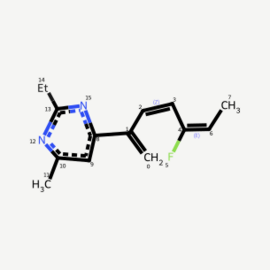 C=C(/C=C\C(F)=C/C)c1cc(C)nc(CC)n1